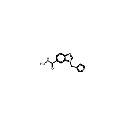 O=C(NO)c1ccc2ncn(Cc3ccsc3)c2c1